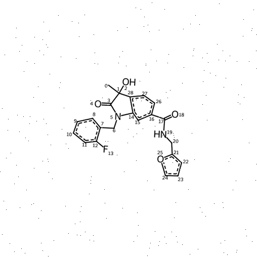 CC1(O)C(=O)N(Cc2ccccc2F)c2cc(C(=O)NCc3ccco3)ccc21